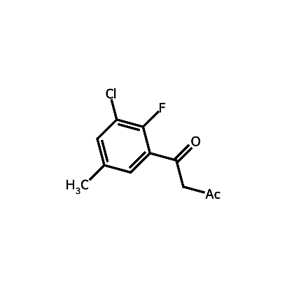 CC(=O)CC(=O)c1cc(C)cc(Cl)c1F